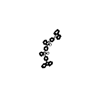 O=c1n(-c2ccc(-n3c(=O)n(-c4ccc(-n5c6ccccc6c6ccccc65)cc4)c4ccccc43)cc2)c2ccccc2n1-c1ccc(-n2c3ccccc3c3ccccc32)cc1